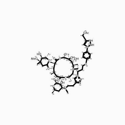 CC[C@H]1OC(=O)[C@H](C)[C@@H](OC2C[C@@](C)(OC)[C@@H](O)[C@H](C)O2)[C@H](C)[C@@H](O[C@@H]2O[C@H](C)C[C@H](N(C)CCc3cn(CCCOc4ccc(N5C=C(COC(C)=O)NN5)cc4)nn3)[C@H]2O)[C@](C)(O)C[C@@H](C)CN(C)[C@H](C)[C@@H](O)[C@]1(C)O